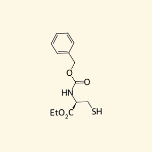 CCOC(=O)[C@H](CS)NC(=O)OCc1ccccc1